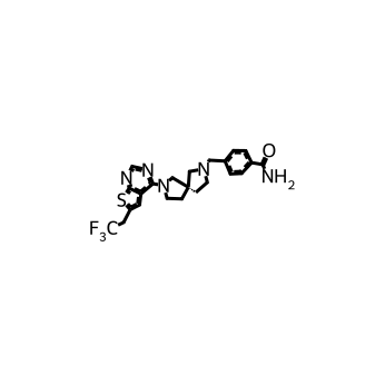 NC(=O)c1ccc(CN2CC[C@@]3(CCN(c4ncnc5sc(CC(F)(F)F)cc45)C3)C2)cc1